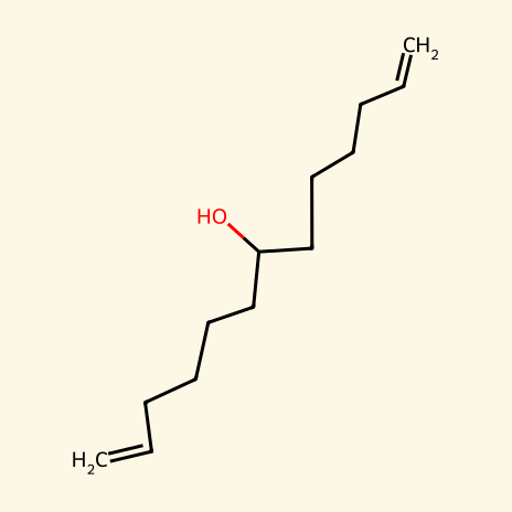 C=CCCCCC(O)CCCCC=C